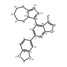 Cc1noc2nc(-c3ccc4c(c3)OCO4)cc(-c3nnc4n3CCCCC4)c12